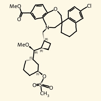 COC(=O)c1ccc2c(c1)N(C[C@@H]1CC[C@H]1[C@H](OC)[C@H]1CCC[C@H](OS(C)(=O)=O)C1)CC1(CCCc3cc(Cl)ccc31)CO2